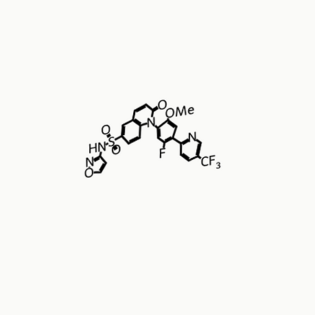 COc1cc(-c2ccc(C(F)(F)F)cn2)c(F)cc1-n1c(=O)ccc2cc(S(=O)(=O)Nc3ccon3)ccc21